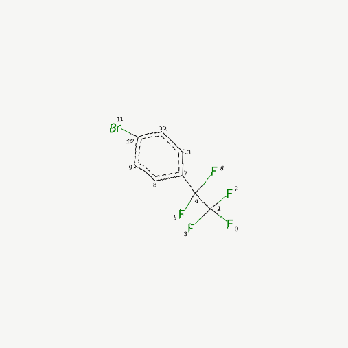 FC(F)(F)C(F)(F)c1c[c]c(Br)cc1